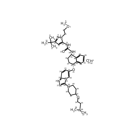 COCCn1nc(C(C)(C)C)cc1NC(=O)N[C@H]1CC[C@@H](Oc2ccc3nnc(N4CCC(OCCN(C)C)CC4)n3c2)c2ccccc21.[Cl-].[H+]